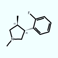 C[C@@H]1CN(C)C[C@H]1c1ccccc1F